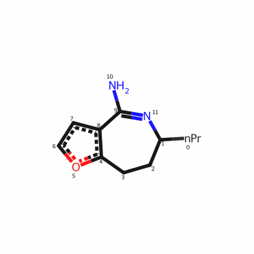 CCCC1CCc2occc2C(N)=N1